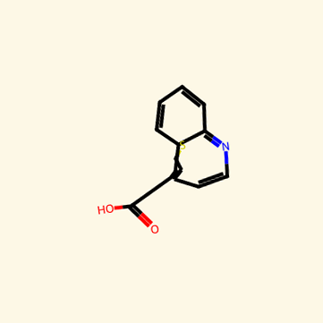 O=C(O)C1=C2C=CN=C3C=CC=CC32SC1